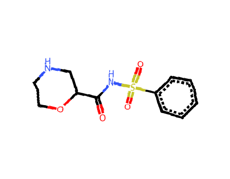 O=C(NS(=O)(=O)c1ccccc1)[C]1CNCCO1